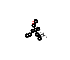 CC1(C)c2ccccc2-c2ccc(-c3c4ccccc4c(-c4ccc5oc6ccccc6c5c4)c4ccc(-c5ccc6ccccc6c5)cc34)cc21